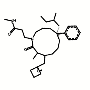 CCC(C)C[C@]1(c2ccccc2)CCCC(CC2(O)CCC2)C(C)C(=O)N(CCC(=O)NC)CCC1